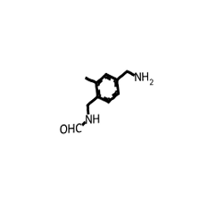 Cc1cc(CN)ccc1CNC=O